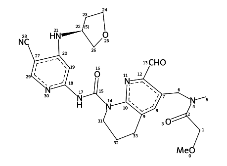 COCC(=O)N(C)Cc1cc2c(nc1C=O)N(C(=O)Nc1cc(N[C@H]3CCOC3)c(C#N)cn1)CCC2